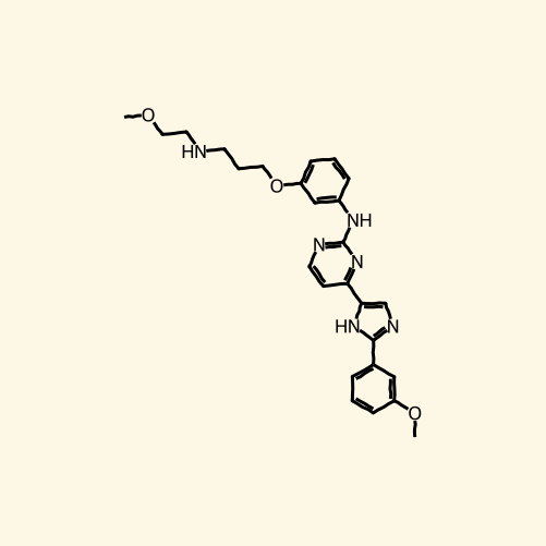 COCCNCCCOc1cccc(Nc2nccc(-c3cnc(-c4cccc(OC)c4)[nH]3)n2)c1